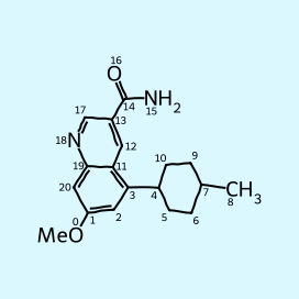 COc1cc(C2CCC(C)CC2)c2cc(C(N)=O)cnc2c1